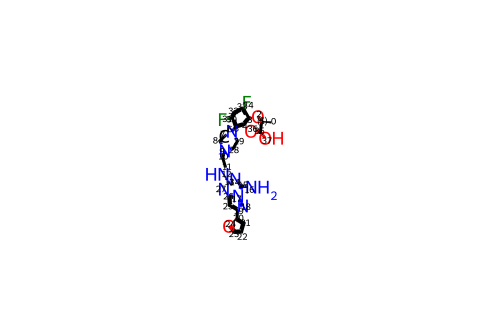 C[C@H](Oc1cc(N2CCN(CCNc3nc(N)n4nc(-c5ccco5)cc4n3)CC2)c(F)cc1F)C(=O)O